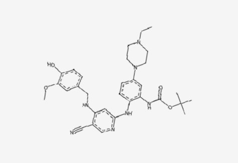 CCN1CCN(c2ccc(Nc3cc(NCc4ccc(O)c(OC)c4)c(C#N)cn3)c(NC(=O)OC(C)(C)C)c2)CC1